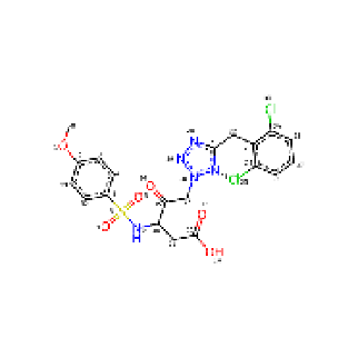 COc1ccc(S(=O)(=O)NC(CC(=O)O)C(=O)Cn2nnc(Cc3c(Cl)cccc3Cl)n2)cc1